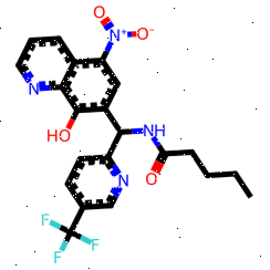 CCCCC(=O)NC(c1ccc(C(F)(F)F)cn1)c1cc([N+](=O)[O-])c2cccnc2c1O